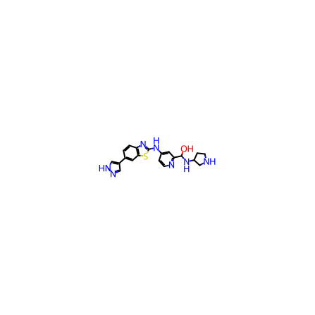 OC(NC1CCNC1)c1cc(Nc2nc3ccc(-c4cn[nH]c4)cc3s2)ccn1